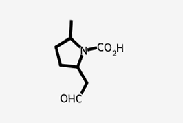 CC1CCC(CC=O)N1C(=O)O